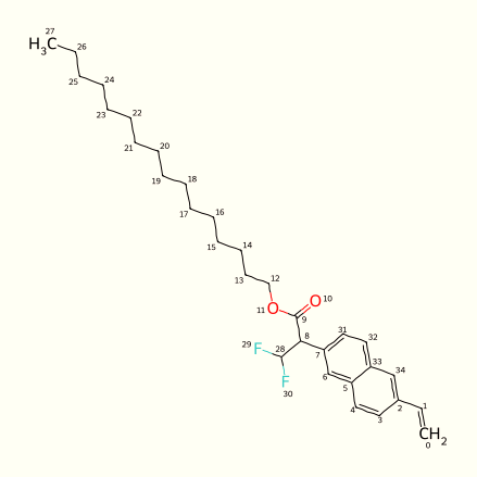 C=Cc1ccc2cc(C(C(=O)OCCCCCCCCCCCCCCCC)C(F)F)ccc2c1